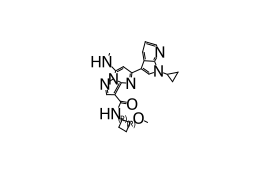 CNc1cc(-c2cn(C3CC3)c3ncccc23)nc2c(C(=O)N[C@@H]3CC[C@H]3OC)cnn12